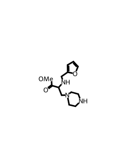 COC(=O)C(CN1CCNCC1)NCc1ccco1